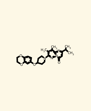 Cc1c(N2CCC(Oc3ccc4c(c3)OCCO4)CC2)nn2c(=O)cc(C(C)C)nc2c1C